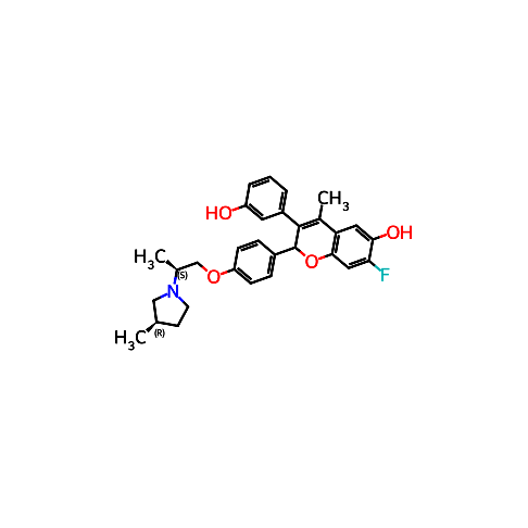 CC1=C(c2cccc(O)c2)C(c2ccc(OC[C@H](C)N3CC[C@@H](C)C3)cc2)Oc2cc(F)c(O)cc21